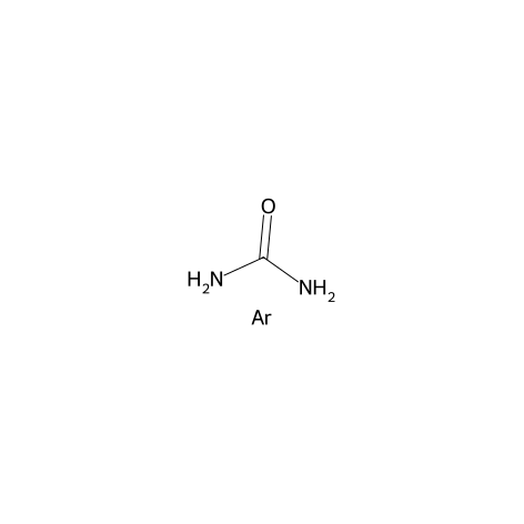 NC(N)=O.[Ar]